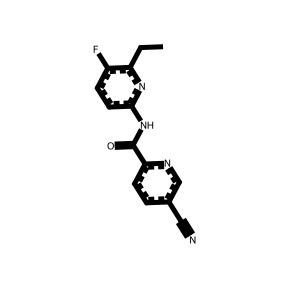 CCc1nc(NC(=O)c2ccc(C#N)cn2)ccc1F